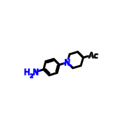 CC(=O)C1CCN(c2ccc(N)cc2)CC1